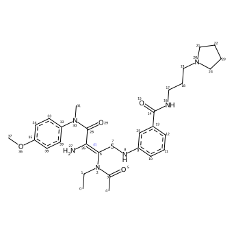 CCN(C(C)=O)/C(SNc1cccc(C(=O)NCCCN2CCCC2)c1)=C(\N)C(=O)N(C)c1ccc(OC)cc1